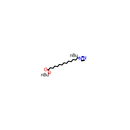 CCCCOC(=O)CCCCCCCCCCCCC(CCCC)n1ccnc1